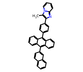 Cc1c(-c2ccc(-c3c4ccccc4c(-c4ccc5ccccc5c4)c4ccccc34)cc2)nc2ccccn12